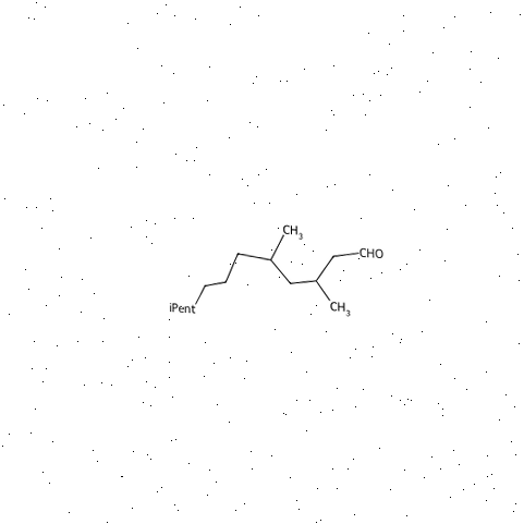 CCCC(C)CCCC(C)CC(C)CC=O